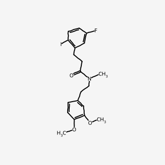 COc1ccc(CCN(C)C(=O)CCc2cc(F)ccc2I)cc1OC